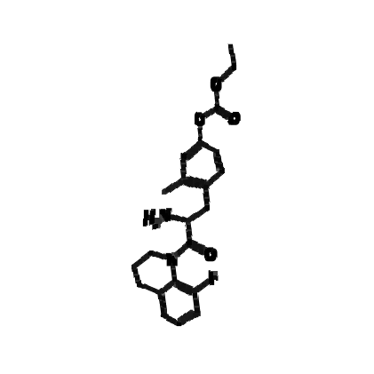 CCOC(=O)Oc1ccc(CC(N)C(=O)N2CCCc3cccc(F)c32)c(C)c1